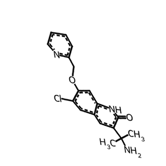 CC(C)(N)c1cc2cc(Cl)c(OCc3ccccn3)cc2[nH]c1=O